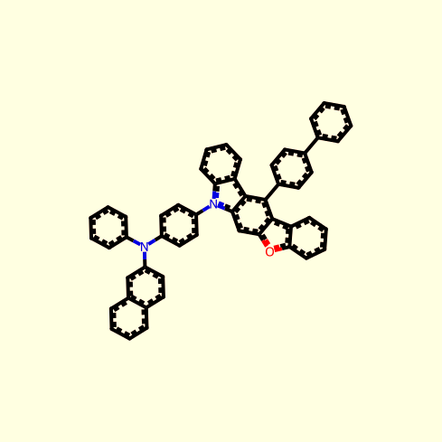 c1ccc(-c2ccc(-c3c4c(cc5c3c3ccccc3n5-c3ccc(N(c5ccccc5)c5ccc6ccccc6c5)cc3)oc3ccccc34)cc2)cc1